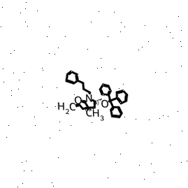 C=CC[C@]1(C)C[C@@H](COC(c2ccccc2)(c2ccccc2)c2ccccc2)N(CCCc2ccccc2)C1=O